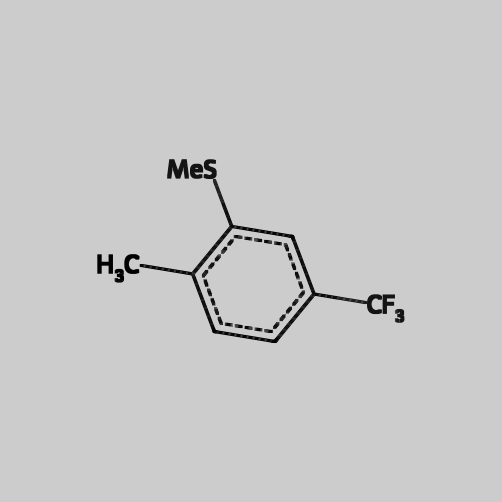 CSc1cc(C(F)(F)F)ccc1C